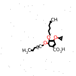 C#CCCCCOC1=C(OC2CC2)C=C(C(=O)O)CC1OCCCCC=C